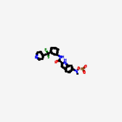 CN(O[SH](=O)=O)c1ccc2cc(C(=O)Nc3cccc(C(F)(F)c4ccncc4)c3)[nH]c2c1